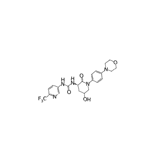 O=C(Nc1ccc(C(F)(F)F)nc1)N[C@@H]1CC(O)CN(c2ccc(N3CCOCC3)cc2)C1=O